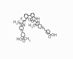 Cn1c(C(=O)Nc2cccc(-c3cccc(/C=C(\F)c4nc5c(n4C)CCN([C@H]4CC[C@@](C)(C(=O)O)CC4)C5)c3Cl)c2Cl)nc2c1CCN(CCC13CCC(C(=O)O)(CC1)C3)C2